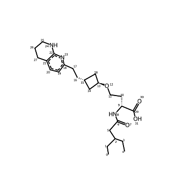 CCC(CC)CC(=O)N[C@H](CCO[C@H]1C[C@H](CCc2ccc3c(n2)NCCC3)C1)C(=O)O